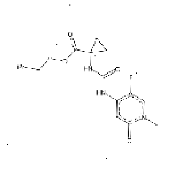 CC(C)CCOC(=O)C1(NC(=O)Nc2cc(=O)n(C)cc2F)CC1